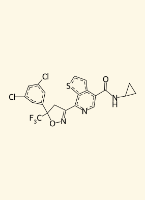 O=C(NC1CC1)c1cnc(C2=NOC(c3cc(Cl)cc(Cl)c3)(C(F)(F)F)C2)c2sccc12